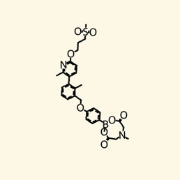 Cc1nc(OCCCS(C)(=O)=O)ccc1-c1cccc(COc2ccc(B3OC(=O)CN(C)CC(=O)O3)cc2)c1C